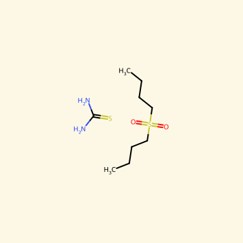 CCCCS(=O)(=O)CCCC.NC(N)=S